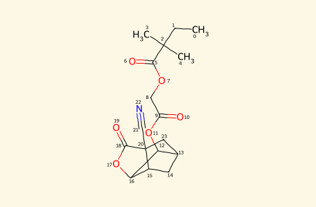 CCC(C)(C)C(=O)OCC(=O)OC1C2CC3C1OC(=O)C3(C#N)C2